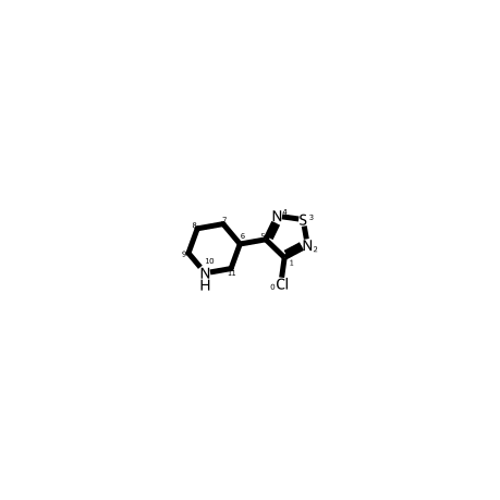 Clc1nsnc1C1CCCNC1